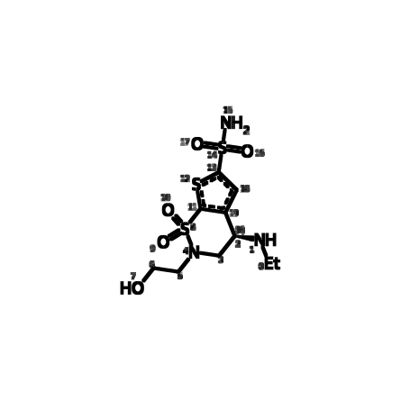 CCN[C@H]1CN(CCO)S(=O)(=O)c2sc(S(N)(=O)=O)cc21